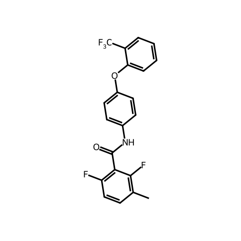 Cc1ccc(F)c(C(=O)Nc2ccc(Oc3ccccc3C(F)(F)F)cc2)c1F